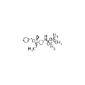 CCS[C@]1(C(=O)OCc2ccccc2)CC[C@@H](NC(=O)OC(C)(C)C)C1